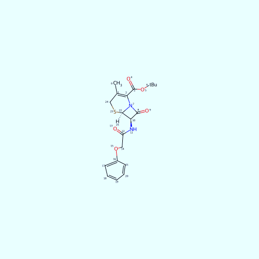 CC1=C(C(=O)OC(C)(C)C)N2C(=O)[C@@H](NC(=O)COc3ccccc3)[C@H]2SC1